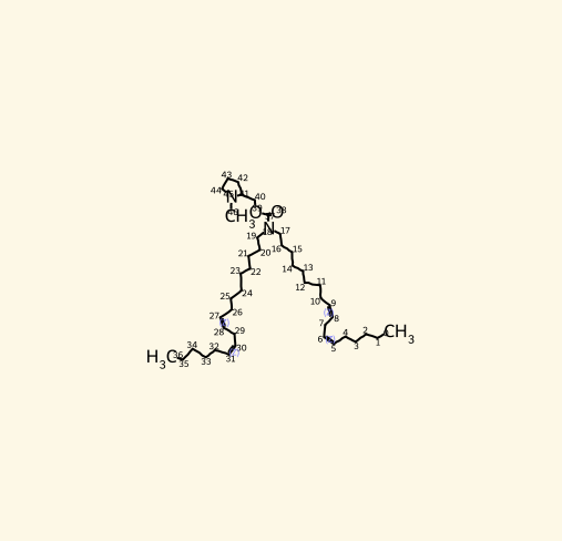 CCCCC/C=C\C/C=C\CCCCCCCCN(CCCCCCCC/C=C\C/C=C\CCCCC)C(=O)OCC1CCCN1C